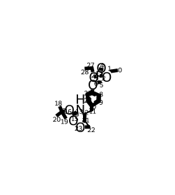 CCOP(=O)(COc1ccc(C[C@H](NC(=O)OC(C)(C)C)[C@H]2CO2)cc1)OCC